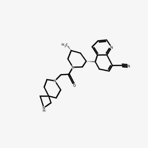 C[C@@H]1C[C@H](C2CC=C(C#N)c3ncccc32)CN(C(=O)CN2CCC3(CC2)CNC3)C1